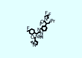 CC(C)CC(C(=O)N1CC(F)(F)C1)c1ccc2[nH]c([C@@H](NC(=O)c3ccnn3C)C3CCC(C)(F)CC3)nc2c1F